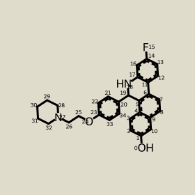 Oc1ccc2c3c(ccc2c1)-c1ccc(F)cc1NC3c1ccc(OCCN2CCCCC2)cc1